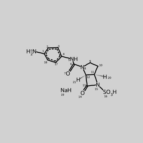 Nc1ccc(NC(=O)N2CC[C@@H]3[C@H]2C(=O)N3S(=O)(=O)O)cc1.[NaH]